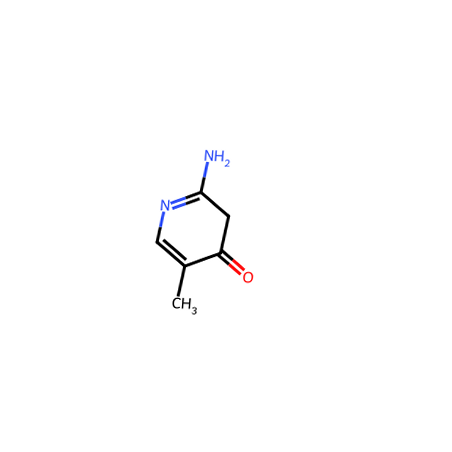 CC1=CN=C(N)CC1=O